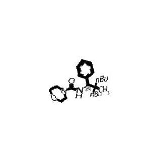 CCCCC(C)(CCCC)[C@H](NC(=O)N1CCOCC1)c1ccccc1